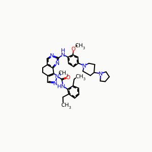 CCc1cccc(CC)c1NC(=O)[N+]1(C)N=CC2=C1c1nc(Nc3ccc(N4CCC(N5CCCC5)CC4)cc3OC)ncc1CC2